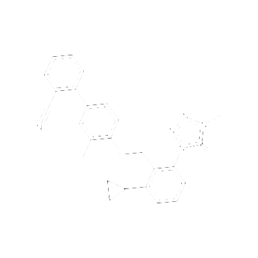 Cc1cc(-c2ccccc2C#N)ccc1OCc1c(C2CC2)cccc1-n1nnn(C)c1=O